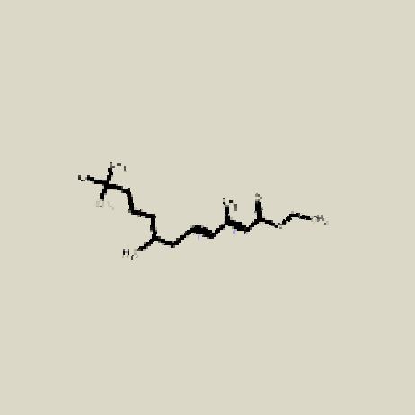 CCOC(=O)/C=C(C)/C=C/CC(C)CCCC(C)(C)Cl